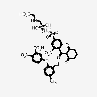 CS(=O)(=O)c1ccc(C(=O)C2C(=O)CCCC2=O)c([N+](=O)[O-])c1.O=C(O)CNCP(=O)(O)O.O=C(O)c1cc(Oc2ccc(C(F)(F)F)cc2Cl)ccc1[N+](=O)[O-]